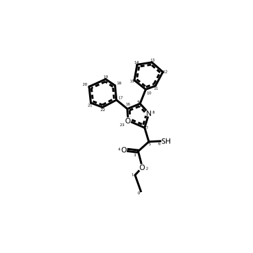 CCOC(=O)C(S)c1nc(-c2ccccc2)c(-c2ccccc2)o1